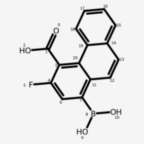 O=C(O)c1c(F)cc(B(O)O)c2ccc3ccccc3c12